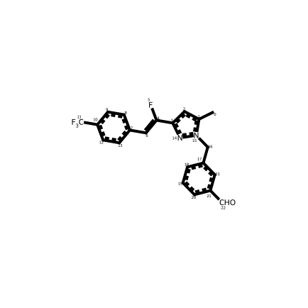 Cc1cc(/C(F)=C/c2ccc(C(F)(F)F)cc2)nn1Cc1cccc(C=O)c1